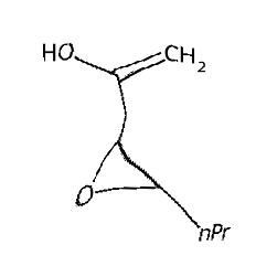 C=C(O)C1OC1CCC